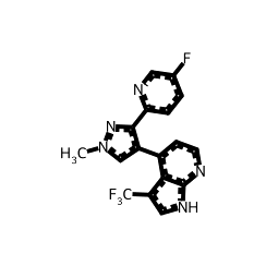 Cn1cc(-c2ccnc3[nH]cc(C(F)(F)F)c23)c(-c2ccc(F)cn2)n1